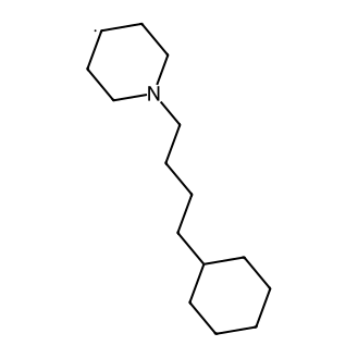 [CH]1CCN(CCCCC2CCCCC2)CC1